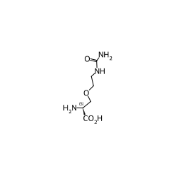 NC(=O)NCCOC[C@H](N)C(=O)O